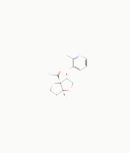 Cc1ncccc1O[C@H]1CO[C@@H]2[CH]CO[C@]12C(N)=O